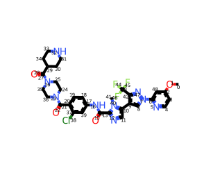 COc1ccnc(-n2cc(-c3cnc(C(=O)Nc4ccc(C(=O)N5CCN(C(=O)C6CCNCC6)CC5)c(Cl)c4)n3C)c(C(F)(F)F)n2)c1